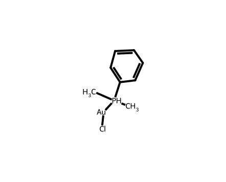 C[PH](C)([Au][Cl])c1ccccc1